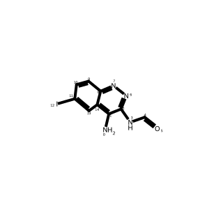 Nc1c(NC=O)nnc2ccc(I)cc12